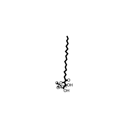 CCCCCCCCCCCCCCCCCC(=O)C(OP(=O)(O)O)[C@@H](O)CO